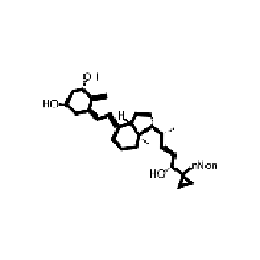 C=C1/C(=C\C=C2/CCC[C@]3(C)[C@@H]([C@H](C)/C=C/[C@@H](O)C4(CCCCCCCCC)CC4)CC[C@@H]23)C[C@@H](O)C[C@@H]1O